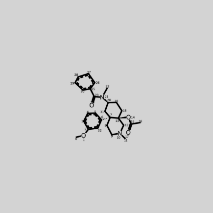 COc1cccc([C@@]23CCN(C)C[C@@]2(OC(C)=O)CC[C@H](N(C)C(=O)c2ccccc2)C3)c1